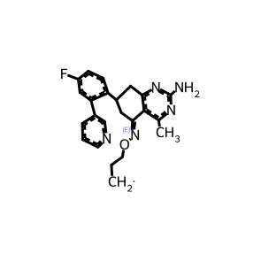 [CH2]CCO/N=C1\CC(c2ccc(F)cc2-c2cccnc2)Cc2nc(N)nc(C)c21